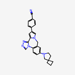 N#Cc1ccc(-c2cc3n(c2)Cc2cc(N4CCC5(CCC5)C4)ccc2-n2cnnc2-3)cc1